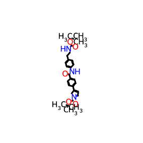 CC(C)(C)OC(=O)NCCc1ccc(NC(=O)c2ccc(C3=CCN(C(=O)OC(C)(C)C)C3)cc2)cc1